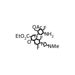 CCOC(=O)c1cn(-c2cc(N)c(F)cc2COC(C)=O)c2c(F)c(N3CC(NC)C3)c(F)cc2c1=O